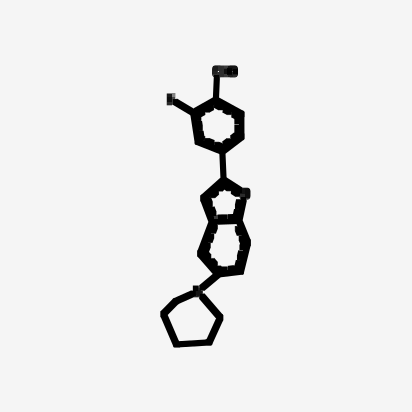 O=Cc1ccc(-c2cc3cc(N4CCCCC4)ccc3o2)cc1F